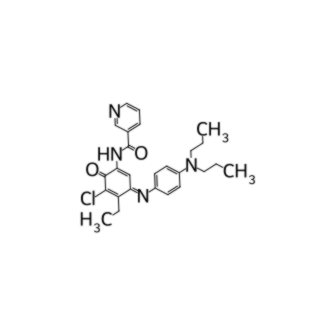 CCCN(CCC)c1ccc(N=C2C=C(NC(=O)c3cccnc3)C(=O)C(Cl)=C2CC)cc1